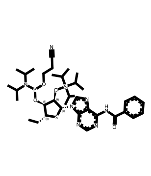 CC[C@H]1S[C@@H](n2cnc3c(NC(=O)c4ccccc4)ncnc32)[C@H](O[Si](C(C)C)(C(C)C)C(C)C)[C@@H]1OP(OCCC#N)N(C(C)C)C(C)C